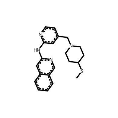 CSC1CCN(Cc2ccnc(Nc3cc4ccccc4cn3)c2)CC1